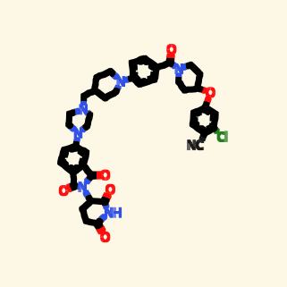 N#Cc1ccc(OC2CCN(C(=O)c3ccc(N4CCC(CN5CCN(c6ccc7c(c6)C(=O)N(C6CCC(=O)NC6=O)C7=O)CC5)CC4)cc3)CC2)cc1Cl